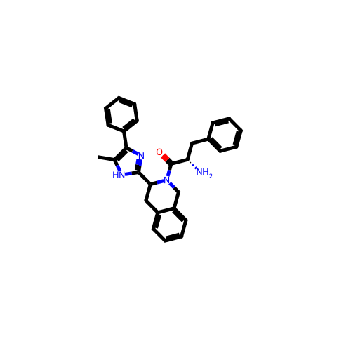 Cc1[nH]c(C2Cc3ccccc3CN2C(=O)[C@@H](N)Cc2ccccc2)nc1-c1ccccc1